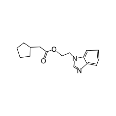 O=C(CC1CCCC1)OCCn1cnc2ccccc21